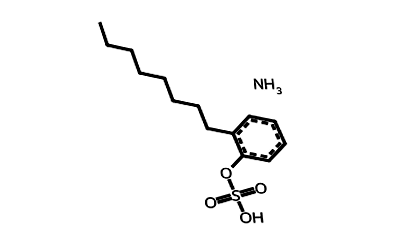 CCCCCCCCc1ccccc1OS(=O)(=O)O.N